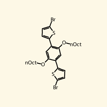 CCCCCCCCOc1cc(-c2ccc(Br)s2)c(OCCCCCCCC)cc1-c1ccc(Br)s1